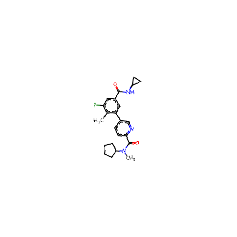 Cc1c(F)cc(C(=O)NC2CC2)cc1-c1ccc(C(=O)N(C)C2CCCC2)nc1